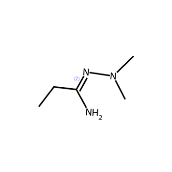 CC/C(N)=N/N(C)C